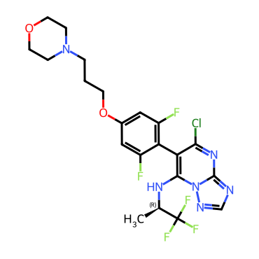 C[C@@H](Nc1c(-c2c(F)cc(OCCCN3CCOCC3)cc2F)c(Cl)nc2ncnn12)C(F)(F)F